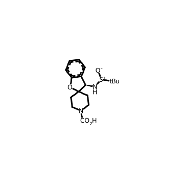 CC(C)(C)[S+]([O-])N[C@@H]1c2ccccc2OC12CCN(C(=O)O)CC2